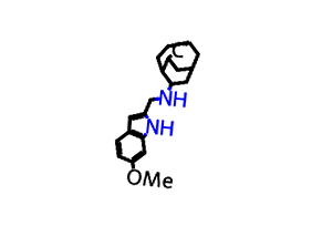 COc1ccc2cc(CNC3CC4CC5CCC3C(C5)C4)[nH]c2c1